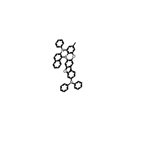 Cc1cc2c3c(c1)N(c1ccccc1)c1ccc4ccccc4c1B3c1cc3oc4cc(N(c5ccccc5)c5ccccc5)ccc4c3cc1O2